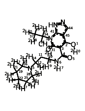 [2H]Oc1c(C(=O)N([2H])C([2H])([2H])CC([2H])([2H])N2C([2H])([2H])C([2H])([2H])C([2H])([2H])C([2H])([2H])C2([2H])[2H])c(=O)n(C([2H])(C)C([2H])([2H])[2H])c2[nH]ncc12